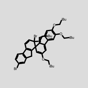 CCC(C)COC1=CC2(C3=Cc4cc(OCC(C)CC)c(OCC(C)CC)cc4C3=C1)C1=C(C=CC2(Br)OCC(C)CC)c2ccc(Br)cc2C1